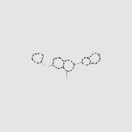 Nc1nc(-c2nc3cccnc3s2)nc2ccc(Sc3cnccn3)cc12